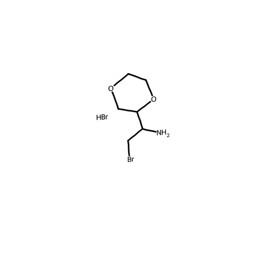 Br.NC(CBr)C1COCCO1